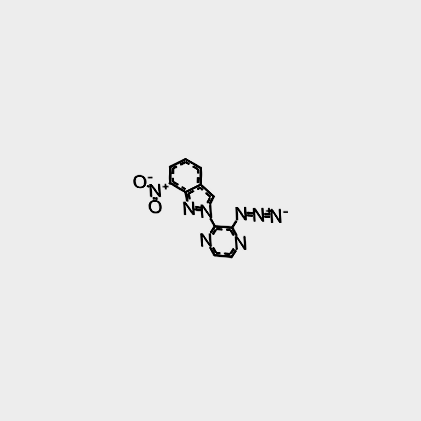 [N-]=[N+]=Nc1nccnc1-n1cc2cccc([N+](=O)[O-])c2n1